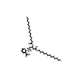 CCCCCCCCCCCCCCC(=O)OC(CC(=O)OCCCCCCCCCCCCC)C[N+](C)(C)C.O=C([O-])c1cccnc1